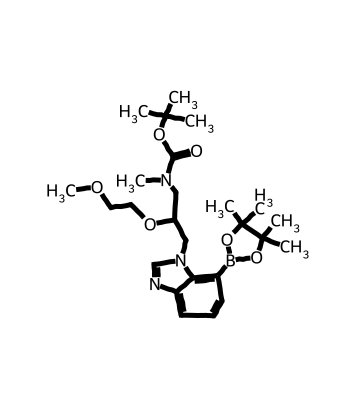 COCCOC(CN(C)C(=O)OC(C)(C)C)Cn1cnc2cccc(B3OC(C)(C)C(C)(C)O3)c21